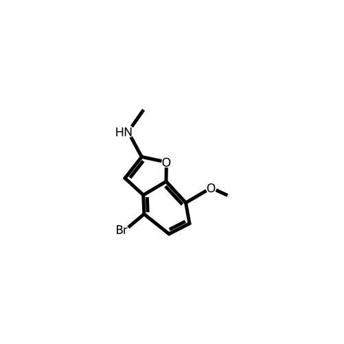 CNc1cc2c(Br)ccc(OC)c2o1